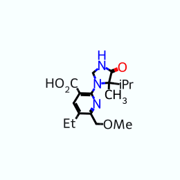 CCc1cc(C(=O)O)c(N2CNC(=O)C2(C)C(C)C)nc1COC